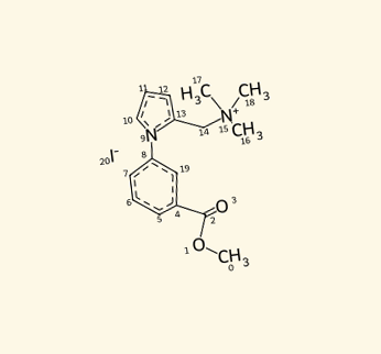 COC(=O)c1cccc(-n2cccc2C[N+](C)(C)C)c1.[I-]